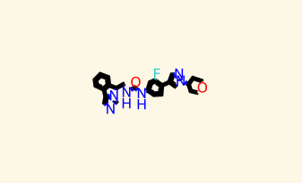 O=C(NCC1c2ccccc2-c2cncn21)Nc1ccc(-c2cnn(C3CCOCC3)c2)c(F)c1